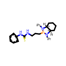 CC(C)N1[C@@H]2CCCC[C@H]2N(C(C)C)P1CCCNC(=S)Nc1ccccc1